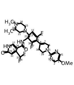 COc1cnc(N2CC=C(c3c(F)cc(N4CCN(C)[C@@H](C)C4)c(NC(=O)c4c[nH]c(=O)cc4C(F)F)c3F)CC2)nc1